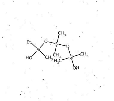 CC[Si](C)(O)O[Si](C)(C)O[Si](C)(C)O